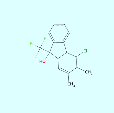 CC1=CC2C(c3ccccc3C2(O)C(F)(F)F)C(Cl)C1C